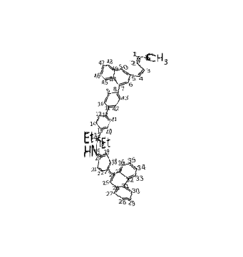 C/C=C\C=C/c1cc(-c2ccc(-c3ccc(C(CC)(CC)Nc4ccc(-c5cc6ccccc6c6ccccc56)cc4)cc3)cc2)c2ccccc2c1